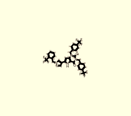 O=c1c2[nH]c(-c3cnn(Cc4ccccc4C(F)(F)F)c3)cc2n(Cc2ccc(C(F)(F)F)cc2)c(=O)n1Cc1ccc(C(F)(F)F)cc1